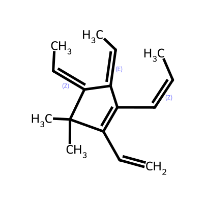 C=CC1=C(/C=C\C)C(=C/C)/C(=C\C)C1(C)C